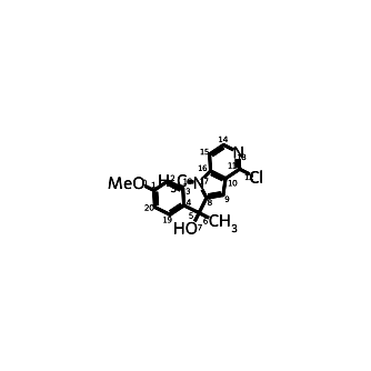 COc1ccc(C(C)(O)c2cc3c(Cl)nccc3n2C)cc1